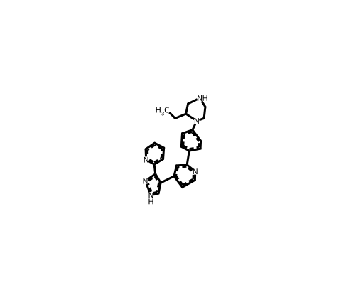 CCC1CNCCN1c1ccc(-c2cc(-c3c[nH]nc3-c3ccccn3)ccn2)cc1